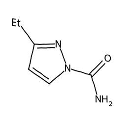 CCc1ccn(C(N)=O)n1